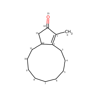 CC1=C2CCCCCCCCCC2CC1=O